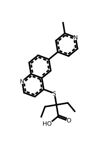 CCC(CC)(Sc1ccnc2ccc(-c3ccnc(C)c3)cc12)C(=O)O